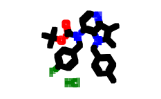 Cc1ccc(Cn2c(C)c(C)c3nccc(N(Cc4ccc(F)cc4)C(=O)OC(C)(C)C)c32)cc1.Cl